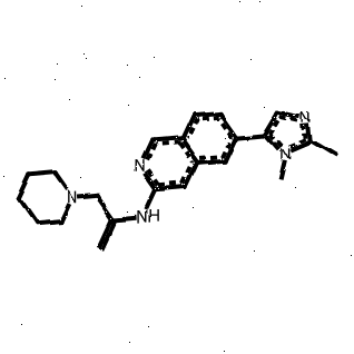 C=C(CN1CCCCC1)Nc1cc2cc(-c3cnc(C)n3C)ccc2cn1